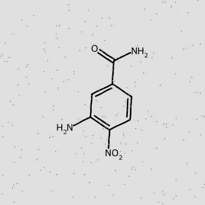 NC(=O)c1ccc([N+](=O)[O-])c(N)c1